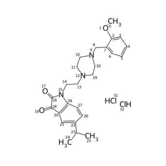 COc1ccccc1CN1CCN(CCN2C(=O)C(=O)c3cc(C(C)C)ccc32)CC1.Cl.Cl